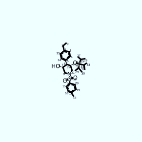 CCc1ccc([C@@H]2[C@@H](O)CN(S(=O)(=O)c3ccc(C)cc3)C[C@H]2O[Si](C(C)C)(C(C)C)C(C)C)cc1